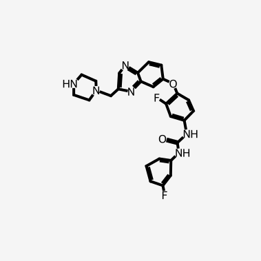 O=C(Nc1cccc(F)c1)Nc1ccc(Oc2ccc3ncc(CN4CCNCC4)nc3c2)c(F)c1